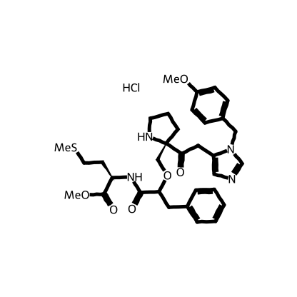 COC(=O)[C@@H](CCSC)NC(=O)C(Cc1ccccc1)OC[C@]1(C(=O)Cc2cncn2Cc2ccc(OC)cc2)CCCN1.Cl